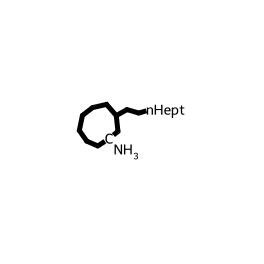 CCCCCCCCCC1CCCCCCCC1.N